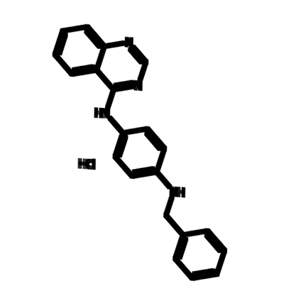 Cl.c1ccc(CNc2ccc(Nc3ncnc4ccccc34)cc2)cc1